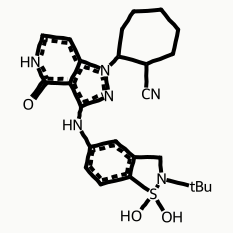 CC(C)(C)N1Cc2cc(Nc3nn(C4CCCCCC4C#N)c4cc[nH]c(=O)c34)ccc2S1(O)O